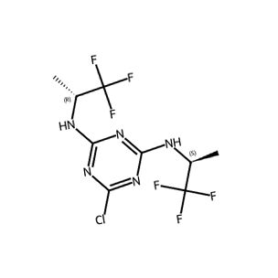 C[C@H](Nc1nc(Cl)nc(N[C@H](C)C(F)(F)F)n1)C(F)(F)F